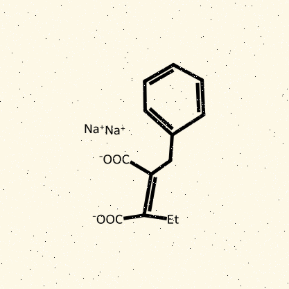 CC/C(C(=O)[O-])=C(\Cc1ccccc1)C(=O)[O-].[Na+].[Na+]